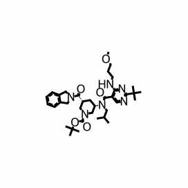 COCCCNc1nc(C(C)(C)C)ncc1C(=O)N(CC(C)C)[C@H]1C[C@@H](C(=O)N2Cc3ccccc3C2)CN(C(=O)OC(C)(C)C)C1